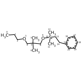 CCCOCC(C)(C)CO[Si](C)(C)CCc1ccccc1